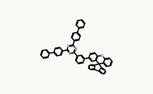 c1ccc(-c2ccc(-c3nc(-c4ccc(-c5ccccc5)cc4)nc(-c4cccc(-c5ccc6c(c5)C5(c7ccccc7O6)c6ccccc6-c6ccccc65)c4)n3)cc2)cc1